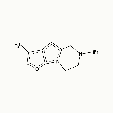 CC(C)N1CCn2c(cc3c(C(F)(F)F)coc32)C1